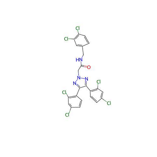 O=C(Cn1nc(-c2ccc(Cl)cc2Cl)c(-c2ccc(Cl)cc2Cl)n1)NCc1ccc(Cl)c(Cl)c1